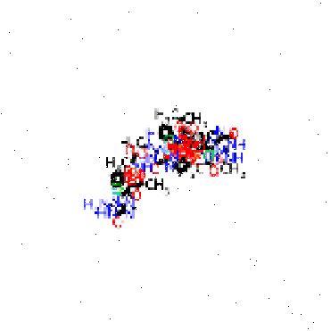 CC(C)OC(=O)[C@H](C)NP(=O)(Oc1ccccc1)O[C@H](C)[C@H]1O[C@@H](n2cnc3c(=O)[nH]c(NC(C)OC(=O)[C@H](C)N[P@@](=O)(Oc4ccccc4)O[C@H](C)[C@H]4O[C@@H](n5cnc6c(=O)[nH]c(NC(C)OC(=O)[C@H](C)N[P@](=O)(Oc7ccccc7)O[C@H](C)[C@H]7O[C@@H](n8cnc9c(=O)[nH]c(N)nc98)[C@@](Cl)(CF)C7O)nc65)[C@@](Cl)(CF)C4O)nc32)[C@@](Cl)(CF)C1O